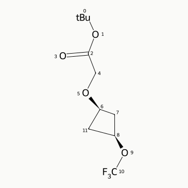 CC(C)(C)OC(=O)CO[C@H]1C[C@@H](OC(F)(F)F)C1